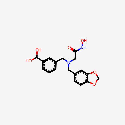 O=C(CN(Cc1cccc(C(O)O)c1)Cc1ccc2c(c1)OCO2)NO